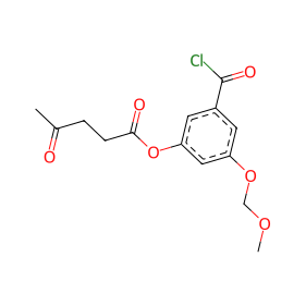 COCOc1cc(OC(=O)CCC(C)=O)cc(C(=O)Cl)c1